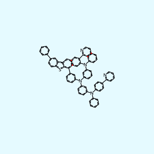 c1ccc(-c2ccc3sc4c(-c5cccc(N(c6cccc(N(c7ccccc7)c7ccc(-c8ccccn8)cc7)c6)c6cccc(N(c7ccccc7)c7ccccc7-c7ccccn7)c6)c5)cccc4c3c2)cc1